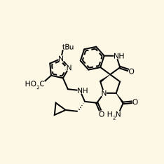 CC(C)(C)n1cc(C(=O)O)c(CN[C@@H](CC2CC2)C(=O)N2C[C@]3(C[C@H]2C(N)=O)C(=O)Nc2ccccc23)n1